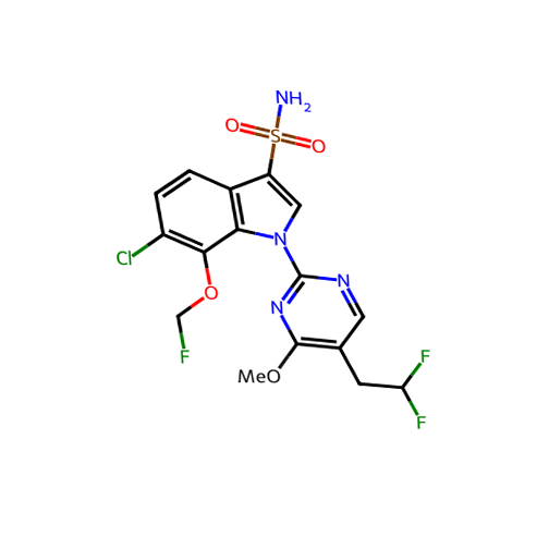 COc1nc(-n2cc(S(N)(=O)=O)c3ccc(Cl)c(OCF)c32)ncc1CC(F)F